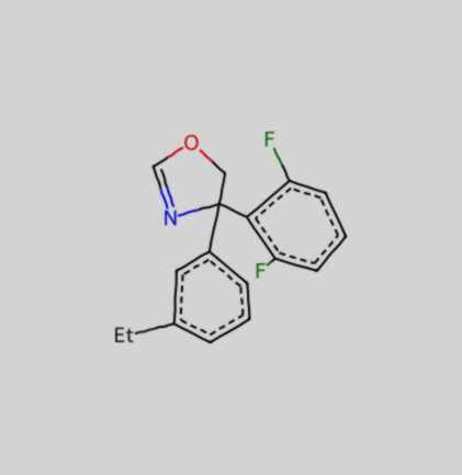 [CH2]Cc1cccc(C2(c3c(F)cccc3F)COC=N2)c1